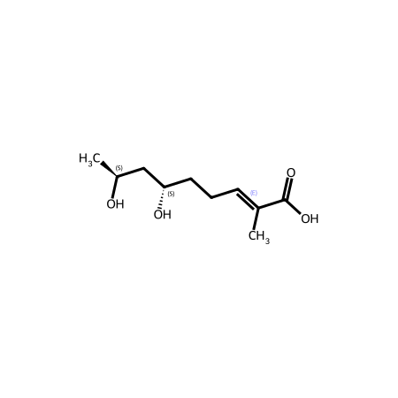 C/C(=C\CC[C@H](O)C[C@H](C)O)C(=O)O